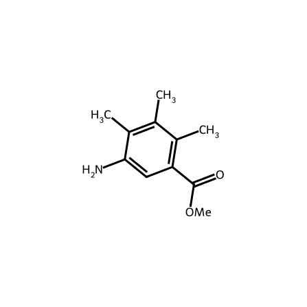 COC(=O)c1cc(N)c(C)c(C)c1C